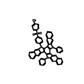 N#Cc1ccc(S(=O)(=O)c2ccc(-n3c4cc5ccccc5cc4c4c5c(c6cc7ccccc7cc6n5-c5ccccc5)c5c(c6cc7ccccc7cc6n5-c5ccccc5)c43)cc2)cc1